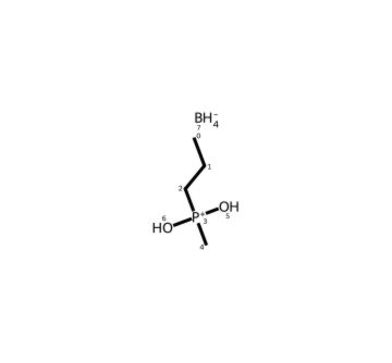 CCC[P+](C)(O)O.[BH4-]